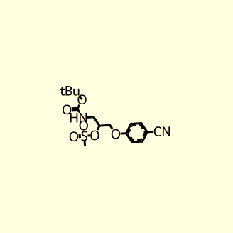 CC(C)(C)OC(=O)NCC(COc1ccc(C#N)cc1)OS(C)(=O)=O